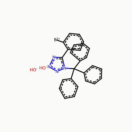 [B+2]c1ccccc1-c1nnnn1C(c1ccccc1)(c1ccccc1)c1ccccc1.[OH-].[OH-]